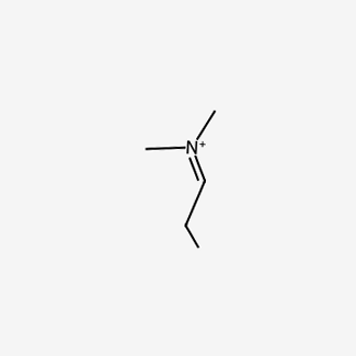 CCC=[N+](C)C